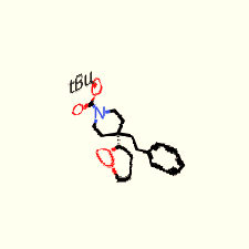 CC(C)(C)OC(=O)N1CCC(CCc2ccccc2)([C@@H]2CCCO2)CC1